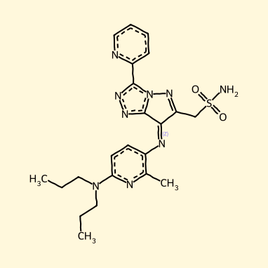 CCCN(CCC)c1ccc(/N=C2/C(CS(N)(=O)=O)=Nn3c2nnc3-c2ccccn2)c(C)n1